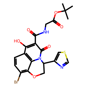 CC(C)(C)OC(=O)CNC(=O)c1c(O)c2ccc(Br)c3c2n(c1=O)C(c1cscn1)CO3